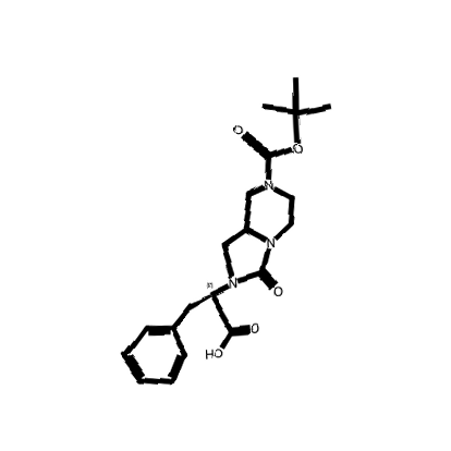 CC(C)(C)OC(=O)N1CCN2C(=O)N([C@H](Cc3ccccc3)C(=O)O)CC2C1